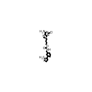 Cn1nccc1-c1cccc(CNC(=O)OCCCCn2cnc3c(N)nc(Cl)nc32)c1